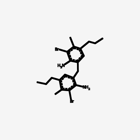 CCCc1cc(Cc2cc(CCC)c(C)c(Br)c2N)c(N)c(Br)c1C